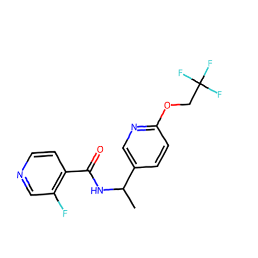 CC(NC(=O)c1ccncc1F)c1ccc(OCC(F)(F)F)nc1